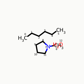 CCCCCC.CN1CCCC1.O